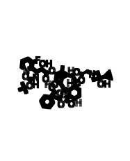 CC(=O)O[C@@]12CO[C@@H]1CC[C@@]1(C)[C@@H]3O[C@H](CN4CC(O)(C5CC5)C4)O[C@@H]3C3=C(C)[C@@H](OC(=O)[C@H](O)[C@@H](NC(=O)OC(C)(C)C)c4ncccc4F)C[C@@](O)([C@@H](OC(=O)c4ccccc4)[C@@H]12)C3(C)C